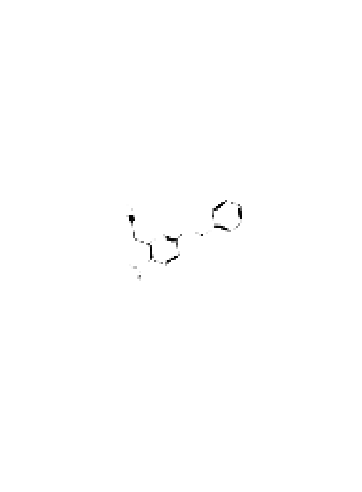 N#CCc1nc(OCc2ccccc2)ccc1[N+](=O)[O-]